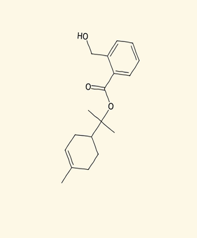 CC1=CCC(C(C)(C)OC(=O)c2ccccc2CO)CC1